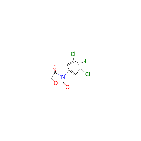 O=C1COC(=O)N1c1cc(Cl)c(F)c(Cl)c1